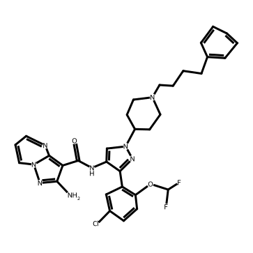 Nc1nn2cccnc2c1C(=O)Nc1cn(C2CCN(CCCCc3ccccc3)CC2)nc1-c1cc(Cl)ccc1OC(F)F